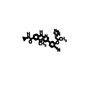 COc1cc(C(=O)NC2CC2)ccc1Nc1ncc(-c2ccc(C#N)c(OC(C)Cn3cncn3)c2)cn1